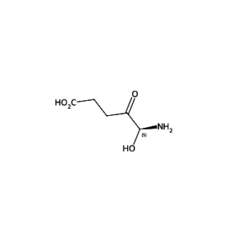 N[C@@H](O)C(=O)CCC(=O)O